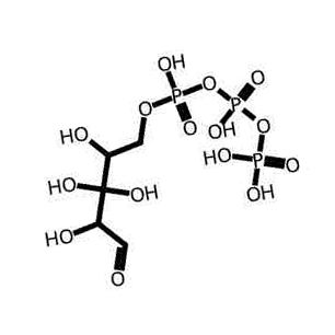 O=CC(O)C(O)(O)C(O)COP(=O)(O)OP(=O)(O)OP(=O)(O)O